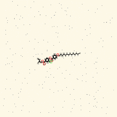 CCCCCCCCCCCCCCOc1ccc(C(=O)Oc2ccc(C(=O)OCC(C)CC)cc2Cl)cc1